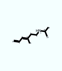 C=C/C=C(\C)CCNC(C)C